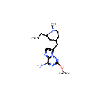 CCC[C@H](C)Oc1nc(N)c2ncc(CC3CCN(C)C(CNC)C3)n2n1